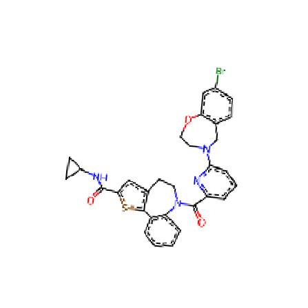 O=C(NC1CC1)c1cc2c(s1)-c1ccccc1N(C(=O)c1cccc(N3CCOc4cc(Br)ccc4C3)n1)CC2